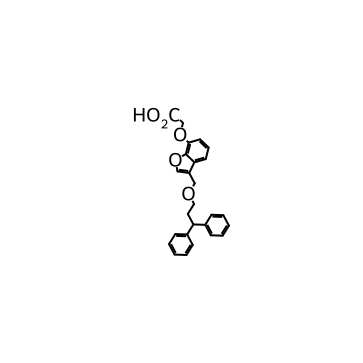 O=C(O)COc1cccc2c(COCCC(c3ccccc3)c3ccccc3)coc12